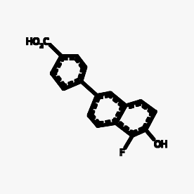 O=C(O)c1ccc(-c2ccc3c(F)c(O)ccc3c2)cc1